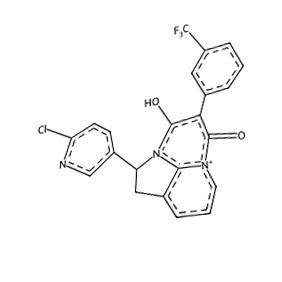 O=c1c(-c2cccc(C(F)(F)F)c2)c(O)n2c3c(ccc[n+]13)CC2c1ccc(Cl)nc1